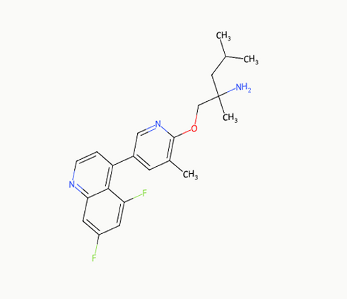 Cc1cc(-c2ccnc3cc(F)cc(F)c23)cnc1OCC(C)(N)CC(C)C